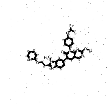 CCOc1ncc2cc(-c3ccc4nc(CCOc5ccccn5)n(C)c4c3)c(=O)n(-c3ccc(OC(F)F)cc3)c2n1